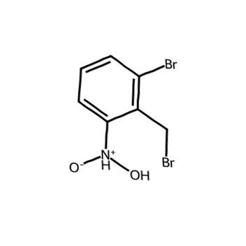 [O-][NH+](O)c1cccc(Br)c1CBr